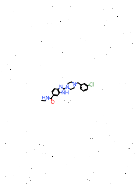 CCNC(=O)c1ccc2nc(N3CCN(Cc4cccc(Cl)c4)CC3)[nH]c2c1